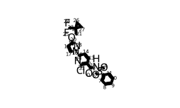 O=C(NS(=O)(=O)c1ccccc1)c1ccc(-n2ccc(OCC3(C(F)F)CC3)n2)nc1Cl